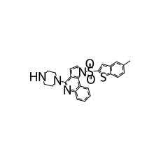 Cc1ccc2sc(S(=O)(=O)n3ccc4c(N5CCNCC5)nc5ccccc5c43)cc2c1